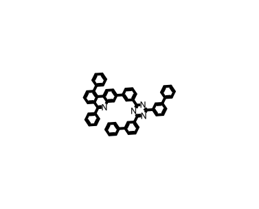 c1ccc(-c2cccc(-c3nc(-c4cccc(-c5ccccc5)c4)nc(-c4cccc(-c5ccc6c(c5)nc(-c5ccccc5)c5cccc(-c7ccccc7)c56)c4)n3)c2)cc1